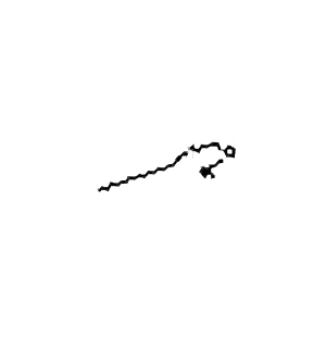 CCCCCCCCCCCCCCCCCCC#CCOC(=O)CCC/C=C\C[C@@H]1[C@@H](/C=C/C[C@H](O)C2(CC)CCC2)[C@H](O)C[C@H]1Cl